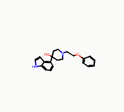 OC1(c2cccc3[nH]ccc23)CCN(CCOc2ccccc2)CC1